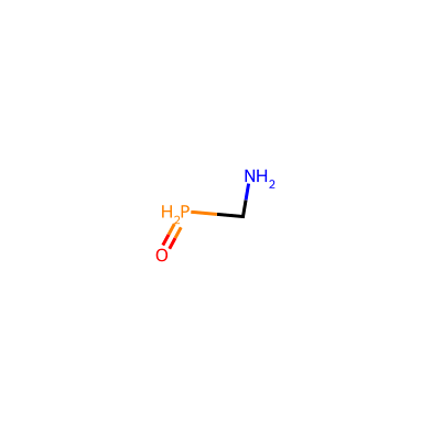 NC[PH2]=O